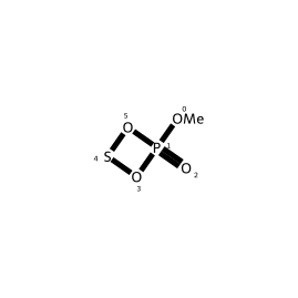 COP1(=O)OSO1